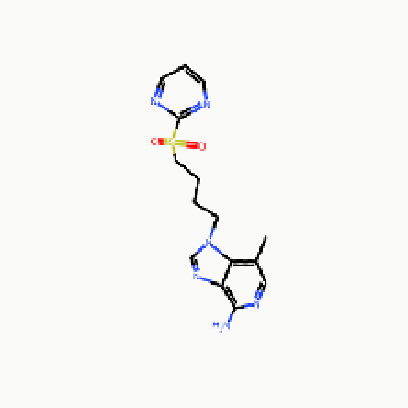 Cc1cnc(N)c2ncn(CCCCS(=O)(=O)c3ncccn3)c12